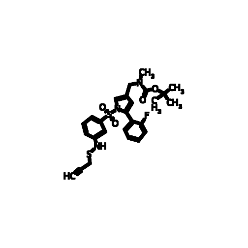 C#CCSNc1cccc(S(=O)(=O)n2cc(CN(C)C(=O)OC(C)(C)C)cc2-c2ccccc2F)c1